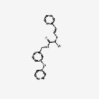 CC(C)C(C/C=C/c1ccccc1)C(=O)OCc1cccc(Oc2ccccc2)c1